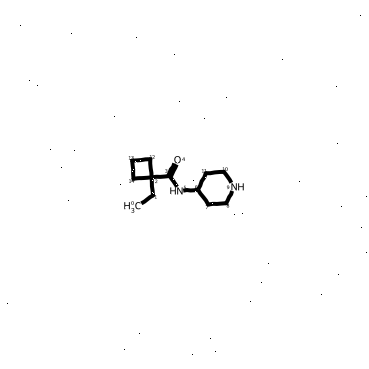 CCC1(C(=O)NC2CCNCC2)CCC1